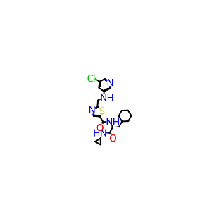 O=C(N[C@@H](CC1CCCCC1)C(=O)NC1CC1)c1cnc(CNc2cncc(Cl)c2)s1